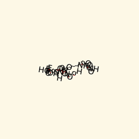 CC(C)(C)[C@H](NC(=O)c1cc2cc(C(F)(F)P(=O)(O)O)ccc2s1)C(=O)N1C[C@@H](OCCCCCCNc2cccc3c2CN(C2CCC(=O)NC2=O)C3=O)C[C@H]1C(=O)N1CCOC(c2ccccc2)C1